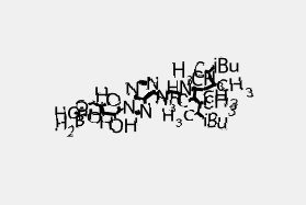 B[PH]1(O)OC[C@H]2O[C@@H](n3cnc4c(NCCNC(C)(C(C)C(C)C(C)C(C)CC)C(C)C(C)C(C)C(C)CC)ncnc43)[C@@H](O)[C@H]2O1